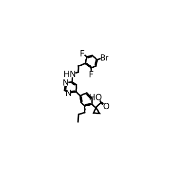 CCCc1cc(-c2cc(NCCc3c(F)cc(Br)cc3F)ncn2)ccc1C1(C(=O)O)CC1